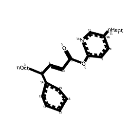 CCCCCCCCC(/C=C/C(=O)Oc1ccc(CCCCCCC)cn1)c1ccccc1